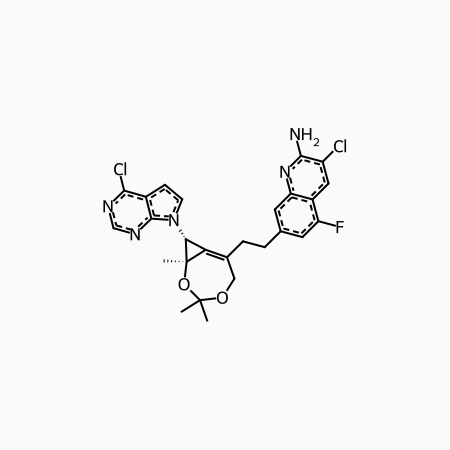 CC1(C)OCC(CCc2cc(F)c3cc(Cl)c(N)nc3c2)=C2[C@@H](n3ccc4c(Cl)ncnc43)[C@]2(C)O1